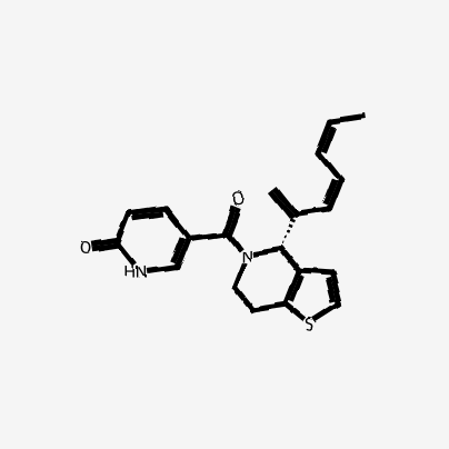 C=C(/C=C\C=C/C)[C@@H]1c2ccsc2CCN1C(=O)c1ccc(=O)[nH]c1